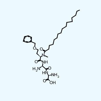 CCCCCCCCCCCCCCCC(=O)N(C)[C@H](CCOCc1ccccc1)C(=O)N[C@H](N)C(=O)N[C@@H](N)C(=O)O